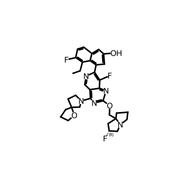 CCc1c(F)ccc2cc(O)cc(-c3ncc4c(N5CCC6(CCCO6)C5)nc(OCC56CCCN5C[C@H](F)C6)nc4c3F)c12